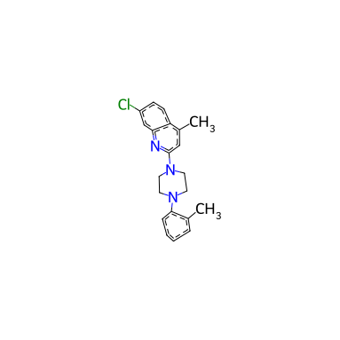 Cc1ccccc1N1CCN(c2cc(C)c3ccc(Cl)cc3n2)CC1